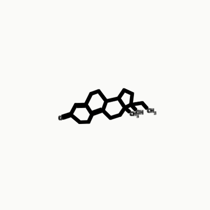 CCC1(O)CCC2C3CCC4=CC(=O)CCC4=C3CCC21C